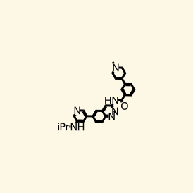 CC(C)Nc1cncc(-c2ccc3nnc(NC(=O)c4cccc(C5CCN(C)CC5)c4)cc3c2)c1